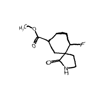 COC(=O)C1CCC(F)C2(CCNC2=O)C1